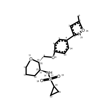 Cc1cc(-c2ccc(OC[C@H]3OCCC[C@@H]3NS(=O)(=O)C3CC3)cc2)no1